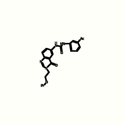 CC(=O)c1cccc(NC(=O)Nc2ccc3ncn(CCOC(C)C)c(=O)c3c2)c1